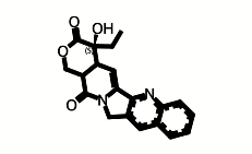 CC[C@@]1(O)C(=O)OCC2C(=O)N3Cc4cc5ccccc5nc4C3=CC21